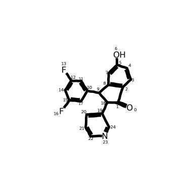 O=C1c2ccc(O)cc2C(c2cc(F)cc(F)c2)C1c1cccnc1